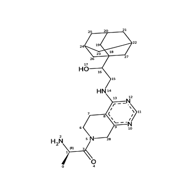 C[C@@H](N)C(=O)N1CCc2c(ncnc2NCC(O)C23CC4CC(CC(C4)C2)C3)C1